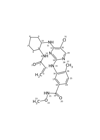 C=CC(=O)NC1CCCCC1Nc1nc(Nc2cc(C(=O)NOC)ccc2C)ncc1Cl